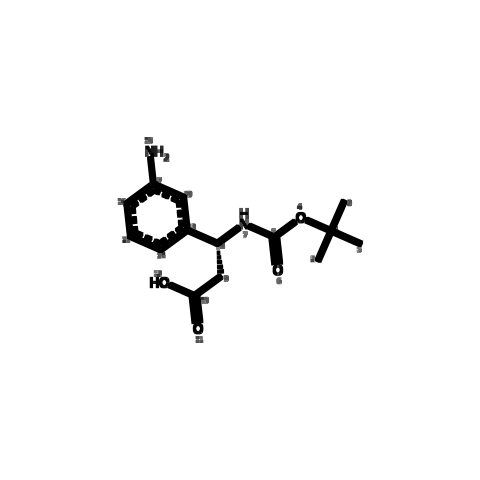 CC(C)(C)OC(=O)N[C@H](CC(=O)O)c1cccc(N)c1